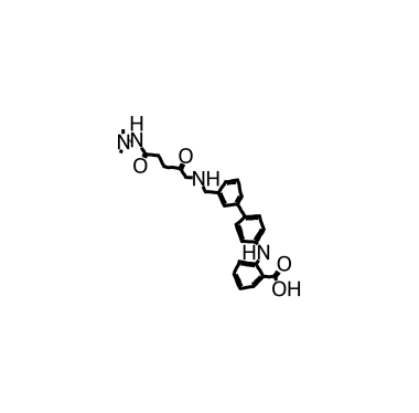 CN(C)NC(=O)CCC(=O)CNCc1cccc(-c2ccc(Nc3ccccc3C(=O)O)cc2)c1